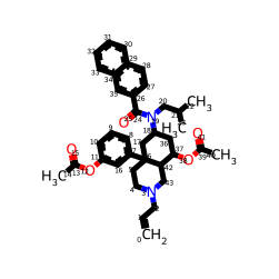 C=CCN1CCC2(c3cccc(OC(C)=O)c3)CC(N(CC(C)C)C(=O)c3ccc4ccccc4c3)CC(OC(C)=O)C2C1